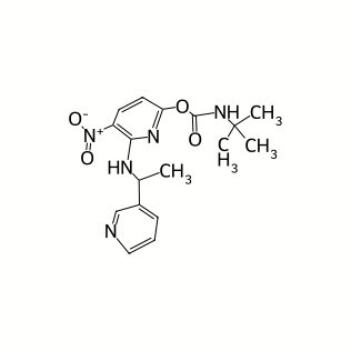 CC(Nc1nc(OC(=O)NC(C)(C)C)ccc1[N+](=O)[O-])c1cccnc1